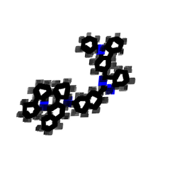 c1ccc(-n2c3ccccc3c3cc(-c4nc(-c5ccc6ccc(-n7c8ccccc8c8c(-n9c%10ccccc%10c%10ccccc%109)c9ccccc9cc87)cc6c5)nc5ccccc45)ccc32)cc1